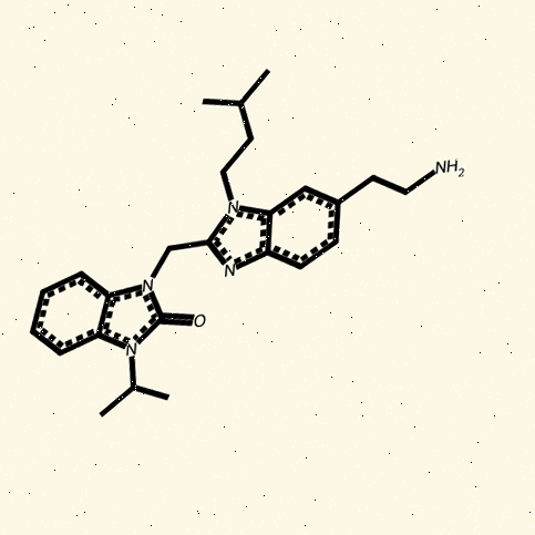 CC(C)CCn1c(Cn2c(=O)n(C(C)C)c3ccccc32)nc2ccc(CCN)cc21